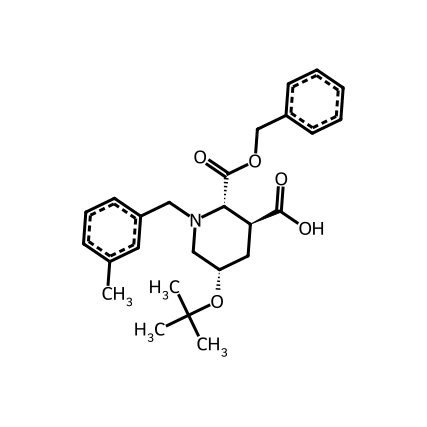 Cc1cccc(CN2C[C@@H](OC(C)(C)C)C[C@H](C(=O)O)[C@H]2C(=O)OCc2ccccc2)c1